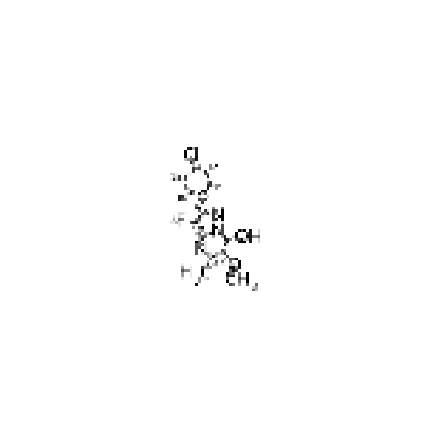 COc1c(C)nc2c(F)c(-c3ccc(Cl)cc3)nn2c1O